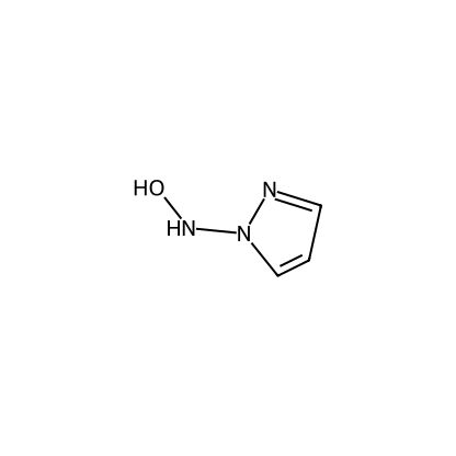 ONn1cccn1